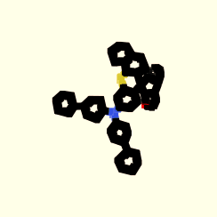 c1ccc(-c2ccc(N(c3ccc(-c4ccccc4)cc3)c3ccc4c(c3)Sc3c(ccc5ccccc35)C43c4ccccc4-c4ccccc43)cc2)cc1